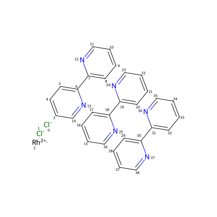 [Cl-].[Cl-].[Rh+2].c1ccc(-c2ccccn2)nc1.c1ccc(-c2ccccn2)nc1.c1ccc(-c2ccccn2)nc1